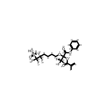 C=C(C)C(=O)OC(OCCCCC(F)(F)C(F)(F)S(=O)(=O)O)(C(=O)Oc1ccccc1)C(F)(F)F